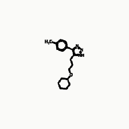 Cc1ccc(-c2nn[nH]c2CCCOC2CCCCC2)cc1